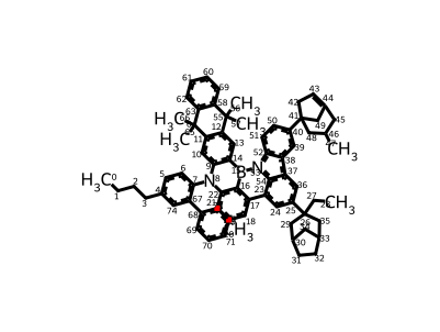 CCCCc1ccc(N2c3cc4c(cc3B3c5c(cc(C)cc52)-c2cc(C5(CC)CC6CCC(C6)C5)cc5c6cc(C78CC=C(CC(C)C7)C8)ccc6n3c25)C(C)(C)c2ccccc2C4(C)C)c(-c2ccccc2)c1